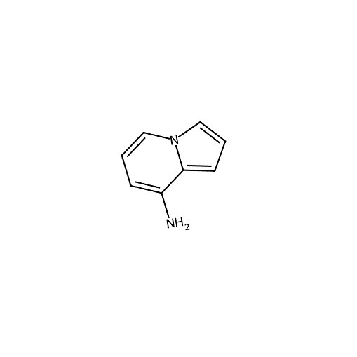 Nc1cccn2cccc12